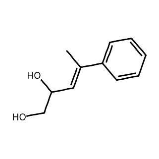 CC(=CC(O)CO)c1ccccc1